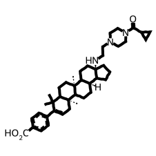 CC1(C)C(c2ccc(C(=O)O)cc2)=CC[C@@]2(C)C1CC[C@@]1(C)C3CC[C@@]4(NCCN5CCN(C(=O)C6CC6)CC5)CCCC4[C@H]3CCC12